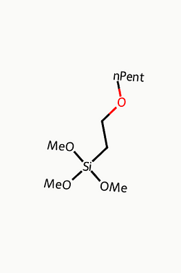 CCCCCOCC[Si](OC)(OC)OC